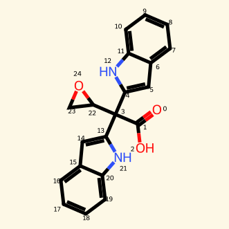 O=C(O)C(c1cc2ccccc2[nH]1)(c1cc2ccccc2[nH]1)C1CO1